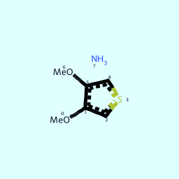 COc1cscc1OC.N